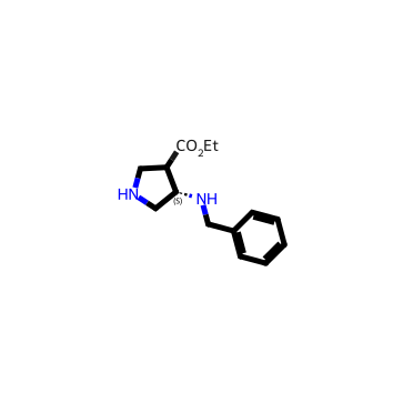 CCOC(=O)C1CNC[C@H]1NCc1ccccc1